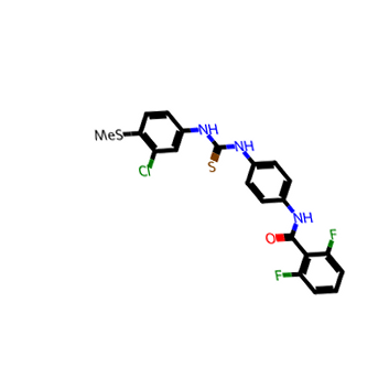 CSc1ccc(NC(=S)Nc2ccc(NC(=O)c3c(F)cccc3F)cc2)cc1Cl